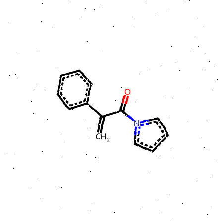 C=C(C(=O)n1cccc1)c1ccccc1